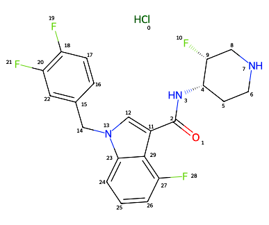 Cl.O=C(N[C@H]1CCNC[C@H]1F)c1cn(Cc2ccc(F)c(F)c2)c2cccc(F)c12